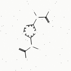 NC(=O)N(N)c1n[nH]c(N(N)C(N)=O)n1